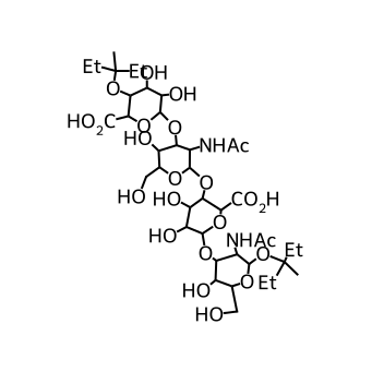 CCC(C)(CC)OC1OC(CO)C(O)C(OC2OC(C(=O)O)C(OC3OC(CO)C(O)C(OC4OC(C(=O)O)C(OC(C)(CC)CC)C(O)C4O)C3NC(C)=O)C(O)C2O)C1NC(C)=O